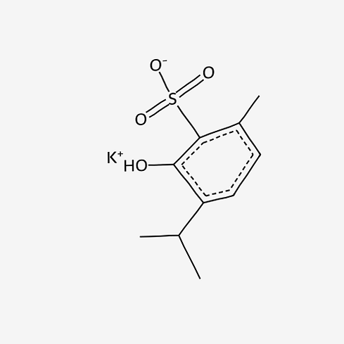 Cc1ccc(C(C)C)c(O)c1S(=O)(=O)[O-].[K+]